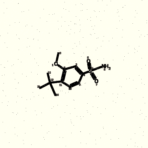 COc1cc(S(N)(=O)=O)ccc1C(C)(C)C